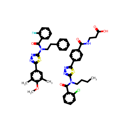 CCCCN(C(=O)c1ccccc1Cl)c1nnc(-c2ccc(C(=O)NCCC(=O)O)cc2)s1.COc1c(C)cc(-c2nnc(N(CCc3ccccc3)C(=O)c3ccccc3F)s2)cc1C